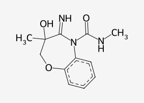 CNC(=O)N1C(=N)C(C)(O)COc2ccccc21